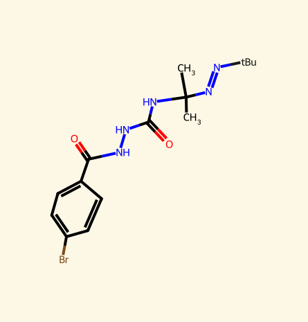 CC(C)(C)/N=N/C(C)(C)NC(=O)NNC(=O)c1ccc(Br)cc1